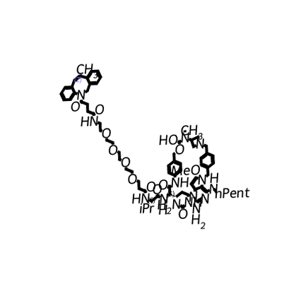 CCCCCNc1nc(N)nc2ccn(Cc3ccc(CN4CC(N(C)C(O)OCc5ccc(NC(=O)[C@H](CCCNC(N)=O)NC(=O)[C@@H](NC(=O)CCOCCOCCOCCOCCNC(=O)CCC(=O)N6Cc7ccccc7/C(C)=C\c7ccccc76)C(C)C)cc5)C4)cc3OC)c12